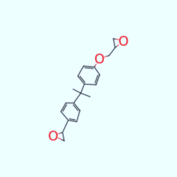 CC(C)(c1ccc(OCC2CO2)cc1)c1ccc(C2CO2)cc1